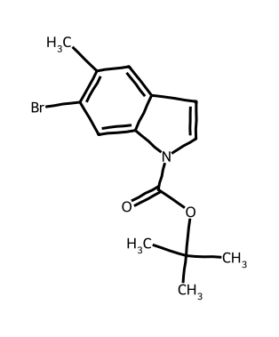 Cc1cc2ccn(C(=O)OC(C)(C)C)c2cc1Br